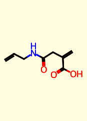 C=CCNC(=O)CC(=C)C(=O)O